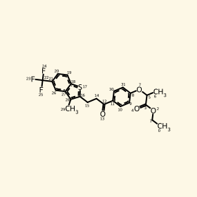 CCOC(=O)C(C)Oc1ccc(C(=O)CCc2sc3ccc(C(F)(F)F)cc3c2C)cc1